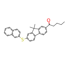 CCCCC(=O)c1ccc2c(c1)C(C)(C)c1cc(Sc3ccc4ccccc4c3)ccc1-2